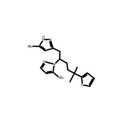 CC(C)(C)c1cc(CC(CCC(C)(C)c2ccco2)n2nccc2C(C)(C)C)n[nH]1